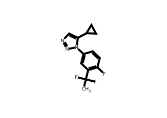 CC(F)(F)c1cc(-n2nn[c]c2C2CC2)ccc1F